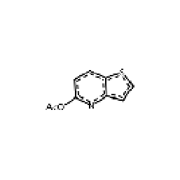 CC(=O)Oc1ccc2sccc2n1